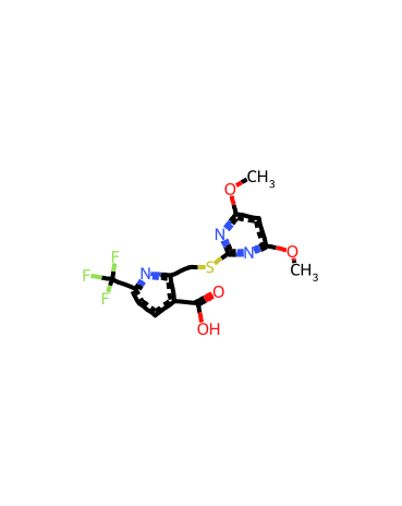 COc1cc(OC)nc(SCc2nc(C(F)(F)F)ccc2C(=O)O)n1